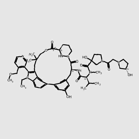 CCn1c(-c2cnccc2COC)c2c3cc(ccc31)-c1cc(O)cc(c1)C[C@H](NC(=O)[C@H](C(C)C)N(C)C(=O)C1(O)CCN(C(=O)CN3CC[C@H](O)C3)C1)C(=O)N1CCC[C@@](C)(N1)C(=O)OCC(C)(C)C2